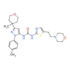 Cc1ccc(-n2nc(C3(C)CCOCC3)cc2NC(=O)Nc2ncc(CCN3CCOCC3)s2)cc1